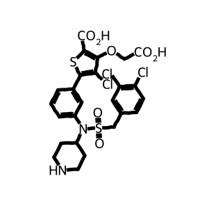 O=C(O)COc1c(C(=O)O)sc(-c2cccc(N(C3CCNCC3)S(=O)(=O)Cc3ccc(Cl)c(Cl)c3)c2)c1Cl